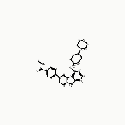 CNC(=O)c1ccc(-c2ccc3[nH]c4ncnc(NC5CCC(N6CCOCC6)CC5)c4c3c2)cc1